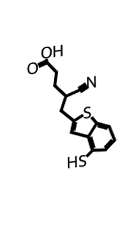 N#CC(CCC(=O)O)Cc1cc2c(S)cccc2s1